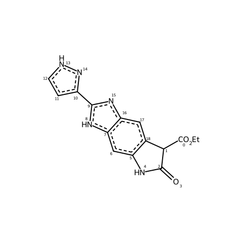 CCOC(=O)C1C(=O)Nc2cc3[nH]c(-c4cc[nH]n4)nc3cc21